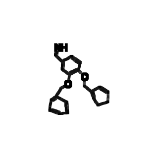 N=Cc1ccc(OCC2=CCCC=C2)c(OCc2ccccc2)c1